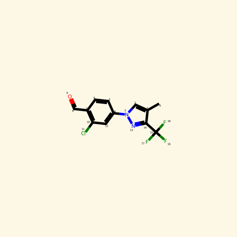 Cc1cn(-c2ccc(C=O)c(Cl)c2)nc1C(F)(F)F